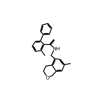 C=C(NCc1cc(C)cc2c1CCOC2)c1c(C)cccc1-c1ccccc1